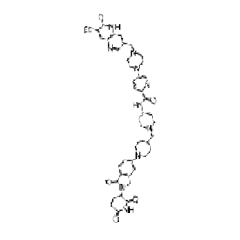 CCc1cc2ncc(CN3CCN(c4ccc(C(=O)NC5CCN(CC6CCN(c7ccc8c(c7)CN(C7CCC(=O)NC7=O)C8=O)CC6)CC5)nc4)CC3)cc2[nH]c1=O